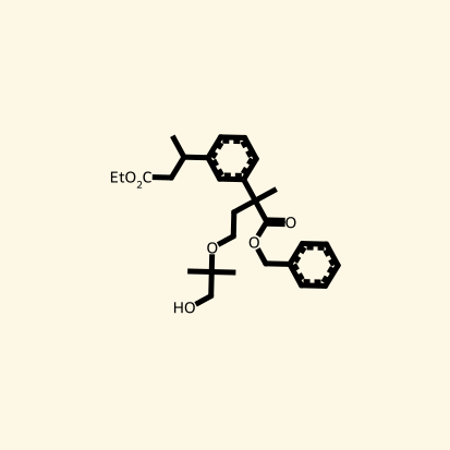 CCOC(=O)CC(C)c1cccc(C(C)(CCOC(C)(C)CO)C(=O)OCc2ccccc2)c1